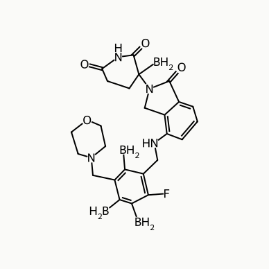 Bc1c(B)c(CN2CCOCC2)c(B)c(CNc2cccc3c2CN(C2(B)CCC(=O)NC2=O)C3=O)c1F